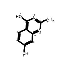 Nc1nc(O)c2ccc(O)cc2n1